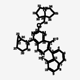 Fc1c(-c2cccc3cccc(F)c23)ncc2c(N3CCCC4CC43)nc(OCC34CCCN3CCC4)nc12